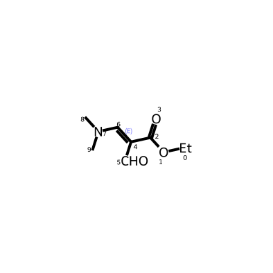 CCOC(=O)/C(C=O)=C/N(C)C